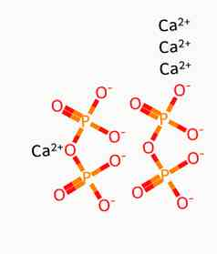 O=P([O-])([O-])OP(=O)([O-])[O-].O=P([O-])([O-])OP(=O)([O-])[O-].[Ca+2].[Ca+2].[Ca+2].[Ca+2]